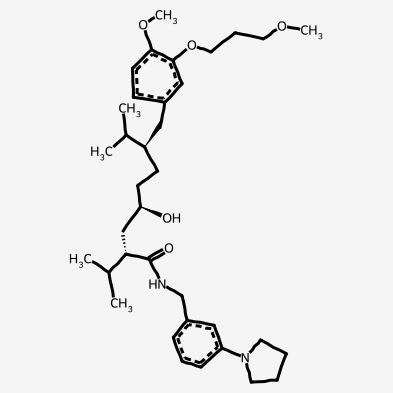 COCCCOc1cc(C[C@@H](CC[C@@H](O)C[C@H](C(=O)NCc2cccc(N3CCCC3)c2)C(C)C)C(C)C)ccc1OC